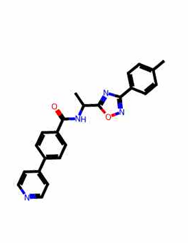 Cc1ccc(-c2noc(C(C)NC(=O)c3ccc(-c4ccncc4)cc3)n2)cc1